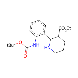 CCOC(=O)C1CCCNC1c1ccccc1NC(=O)OC(C)(C)C